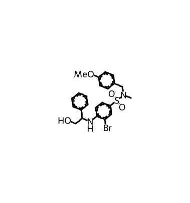 COc1ccc(CN(C)S(=O)(=O)c2ccc(NC(CO)c3ccccc3)c(Br)c2)cc1